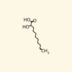 C=CCCCCCCCC(O)C(=O)O